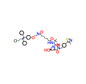 Cc1ncsc1-c1ccc(CNC(=O)[C@@H]2C[C@@H](O)CN2C(=O)C(NC(=O)CCCCCC(=O)N(C)CCOc2ccc(/C(=C(/CCCl)c3ccccc3)c3ccccc3)cc2)C(C)(C)C)cc1